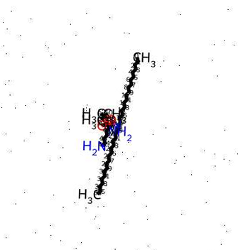 CCCCCCCCCCCCCCCCCCN(CCCCCCCCCCCCCCCCCC)C(=O)[C@@](N)(CCCCN)C(=O)OC(C)(C)C